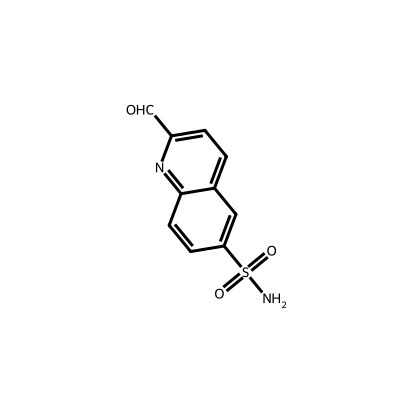 NS(=O)(=O)c1ccc2nc(C=O)ccc2c1